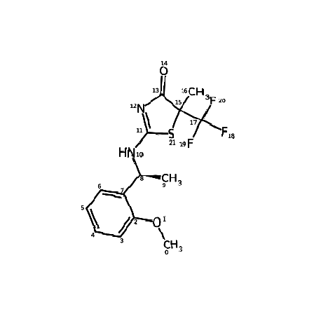 COc1ccccc1[C@H](C)NC1=NC(=O)C(C)(C(F)(F)F)S1